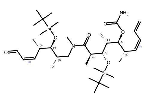 C=C/C=C\[C@H](C)[C@H](OC(N)=O)[C@@H](C)[C@H](O[Si](C)(C)C(C)(C)C)[C@@H](C)C(=O)N(C)C[C@H](C)[C@H](O[Si](C)(C)C(C)(C)C)[C@@H](C)/C=C\C=O